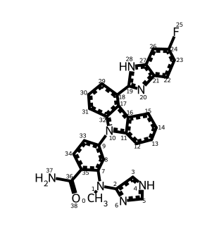 CN(c1c[nH]cn1)c1cc(-n2c3ccccc3c3c(-c4nc5ccc(F)cc5[nH]4)cccc32)ccc1C(N)=O